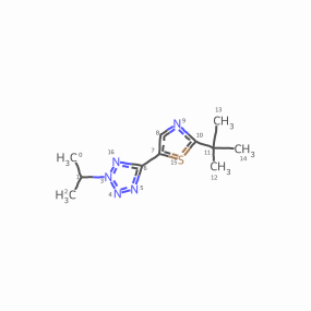 CC(C)n1nnc(-c2cnc(C(C)(C)C)s2)n1